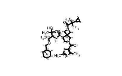 Cc1nc(C)c(C(=O)N2C[C@@H](C(=O)NC([C@@H](C)OCC34CCC(CC3)OC4)C(C)(C)O)C3(C2)CN(C(=O)C(C)(C)C2CC2)C3)s1